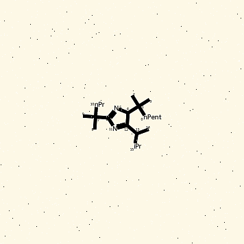 CCCCCC(C)(C)C1N=C(C(C)(C)CCC)N=C1C(C)C(C)C